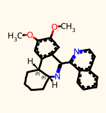 COc1cc2c(cc1OC)[C@H]1CCCC[C@H]1N=C2c1nccc2ccccc12